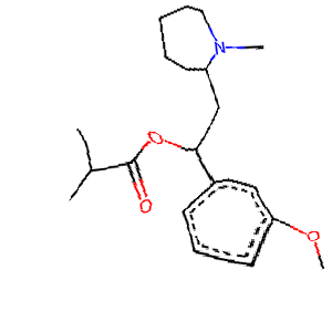 COc1cccc(C(CC2CCCN2C)OC(=O)C(C)C)c1